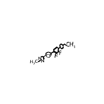 CCCc1ccc(-c2ccc(C3CCC(c4cnc(CC)nc4)OC3)c(F)c2F)cc1